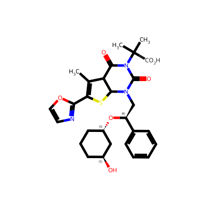 CC1=C(c2ncco2)SC2C1C(=O)N(C(C)(C)C(=O)O)C(=O)N2C[C@H](O[C@H]1CCC[C@H](O)C1)c1ccccc1